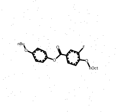 CCCCCCCCOc1ccc(C(=O)Oc2ccc(OCCCC)cc2)cc1F